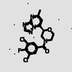 Cc1cc([C@@H]2CN(C(=O)c3cc(Cl)c(F)c(Cl)c3)CCO2)n2ncnc2n1